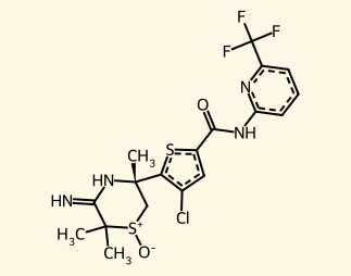 CC1(C)C(=N)N[C@](C)(c2sc(C(=O)Nc3cccc(C(F)(F)F)n3)cc2Cl)C[S+]1[O-]